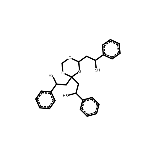 SC(CC1OCOC(CC(S)c2ccccc2)(CC(S)c2ccccc2)O1)c1ccccc1